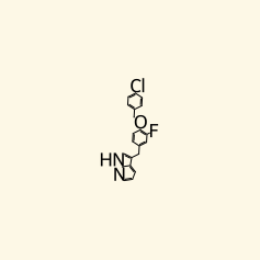 Fc1cc(Cc2c[nH]c3ncccc23)ccc1OCc1ccc(Cl)cc1